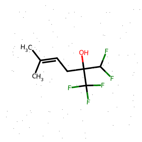 CC(C)=CCC(O)(C(F)F)C(F)(F)F